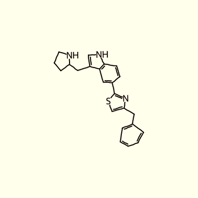 c1ccc(Cc2csc(-c3ccc4[nH]cc(CC5CCCN5)c4c3)n2)cc1